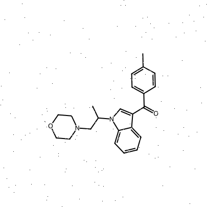 Cc1ccc(C(=O)c2cn(C(C)CN3CCOCC3)c3ccccc23)cc1